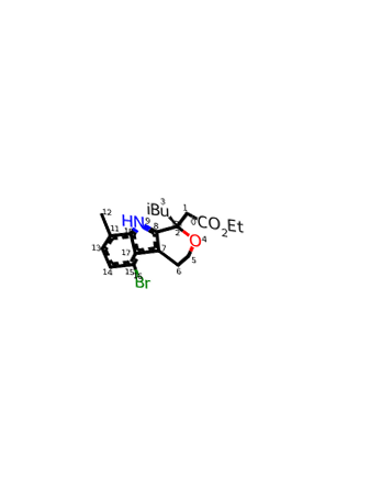 CCOC(=O)C[C@]1(C(C)CC)OCCc2c1[nH]c1c(C)ccc(Br)c21